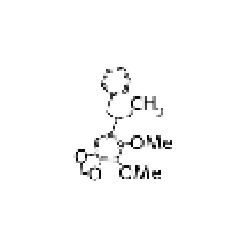 C=CC(Cc1ccccc1)c1cc2c(c(OC)c1OC)OCO2